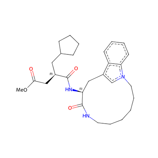 COC(=O)C[C@@H](CC1CCCC1)C(=O)N[C@H]1Cc2cn(c3ccccc23)CCCCCCNC1=O